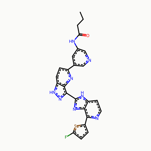 CCCC(=O)Nc1cncc(-c2ccc3[nH]nc(-c4nc5c(-c6ccc(F)s6)nccc5[nH]4)c3n2)c1